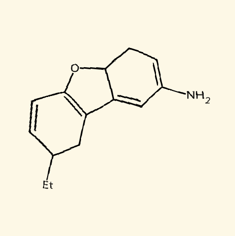 CCC1C=CC2=C(C1)C1=CC(N)=CCC1O2